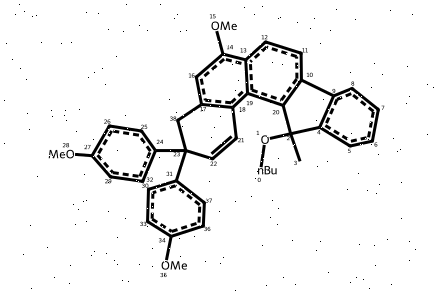 CCCCOC1(C)c2ccccc2-c2ccc3c(OC)cc4c(c3c21)C=CC(c1ccc(OC)cc1)(c1ccc(OC)cc1)C4